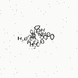 C=CCC[C@@H](C(=O)N[C@@H](Cc1ccccc1)[C@@H](O)CNC1CC(OCC=C)c2ccc(Oc3ccccc3)cc21)N(C)C(=O)CCCCC